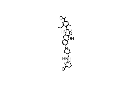 CCc1cc(C(C)=O)cc(C)c1C(=O)NC(Cc1ccc(N2CCC(CNC3=NC(=O)CCN3)CC2)cc1)C(=O)O